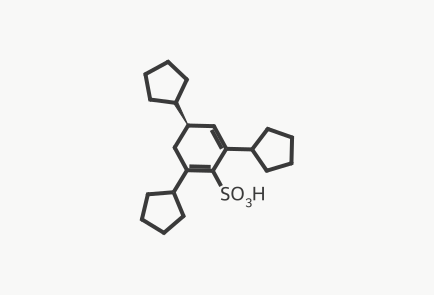 O=S(=O)(O)C1=C(C2CCCC2)C[C@@H](C2CCCC2)C=C1C1CCCC1